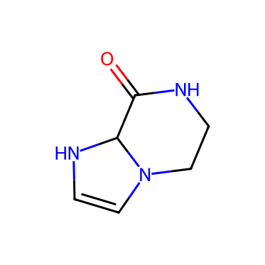 O=C1NCCN2C=CNC12